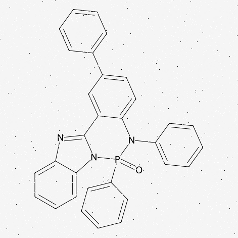 O=P1(c2ccccc2)N(c2ccccc2)c2ccc(-c3ccccc3)cc2-c2nc3ccccc3n21